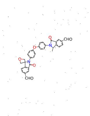 CC1c2ccc(C=O)cc2C(=O)N1c1ccc(Oc2ccc(N3C(=O)c4cc(C=O)ccc4C34COC4)cc2)cc1